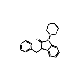 O=C1C(Cc2ccncc2)c2ccccc2N1N1CCCCC1